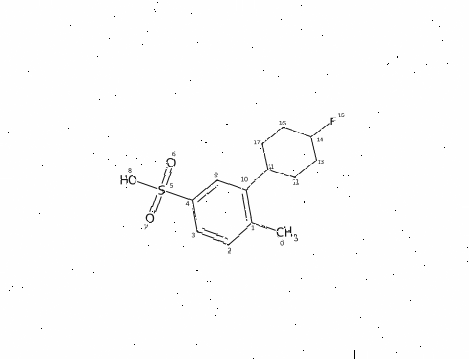 Cc1ccc(S(=O)(=O)O)cc1C1CCC(F)CC1